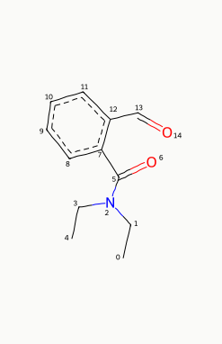 CCN(CC)C(=O)c1ccccc1C=O